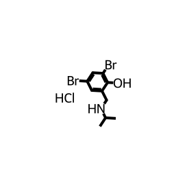 CC(C)NCc1cc(Br)cc(Br)c1O.Cl